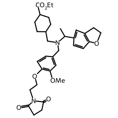 CCOC(=O)C1CCC(CN(Cc2ccc(OCCN3C(=O)CCC3=O)c(OC)c2)C(C)c2ccc3c(c2)CCO3)CC1